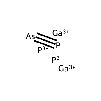 P#[As].[Ga+3].[Ga+3].[P-3].[P-3]